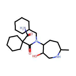 CC1CCC(N(CC2CCCCC2)C(=O)C2(C(N)=O)CCCCC2)C(O)CN1